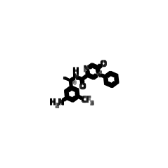 C[C@@H](NC(=O)c1cn(-c2ccccc2)c(=O)cn1)c1cc(N)cc(C(F)(F)F)c1